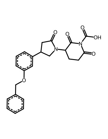 O=C(O)N1C(=O)CCC(N2CC(c3cccc(OCc4ccccc4)c3)CC2=O)C1=O